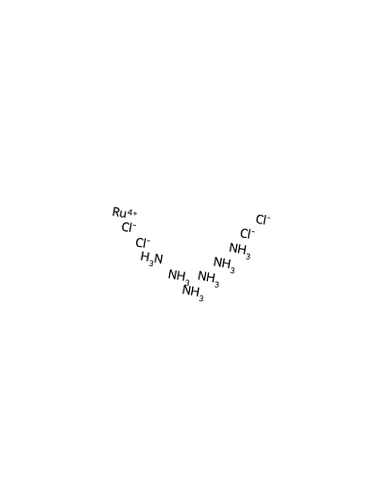 N.N.N.N.N.N.[Cl-].[Cl-].[Cl-].[Cl-].[Ru+4]